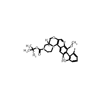 COc1c(-c2c(O)cccc2F)c(Cl)cc2c3c(cnc12)OC[C@H]1CN(C(=O)OC(C)(C)C)CCN31